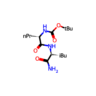 CCC[C@H](NC(=O)OC(C)(C)C)C(=O)N[C@H](C(N)=O)[C@@H](C)CC